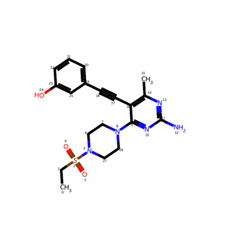 CCS(=O)(=O)N1CCN(c2nc(N)nc(C)c2C#Cc2cccc(O)c2)CC1